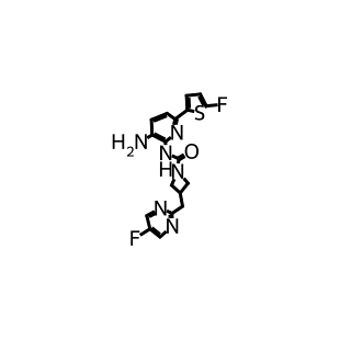 Nc1ccc(-c2ccc(F)s2)nc1NC(=O)N1CC(Cc2ncc(F)cn2)C1